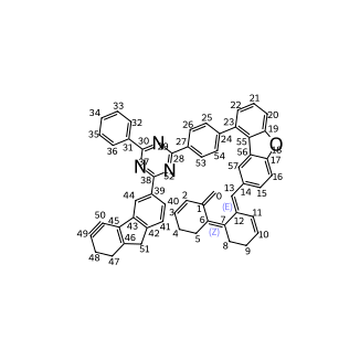 C=C1C=CCC/C1=C1\CCC=C\C1=C/c1ccc2oc3cccc(-c4ccc(-c5nc(-c6ccccc6)nc(-c6ccc7c(c6)C6=C(CCC#C6)C7)n5)cc4)c3c2c1